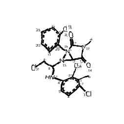 Cc1c(Cl)ccc(NC(CCl)N2C3C(=O)N(C)C(=O)[N+]32c2ccccc2Cl)c1Cl